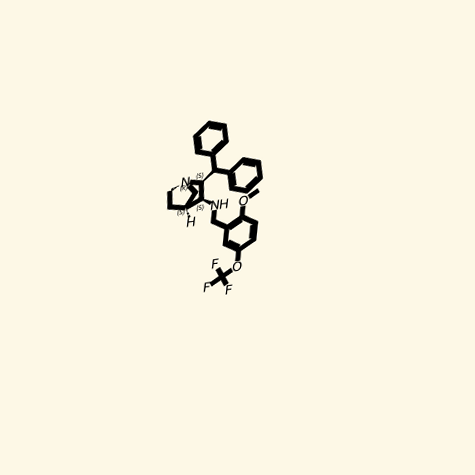 COc1ccc(OC(F)(F)F)cc1CN[C@H]1[C@H]2CC[N@@](C2)[C@H]1C(c1ccccc1)c1ccccc1